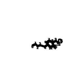 CCCCCc1ccc(CC=O)c(F)c1